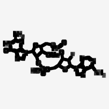 COC1C2CO[PH](=O)OC3C(COP(=O)(O)OC1C(n1cnc4c(=O)[nH]c(N)nc41)O2)OC(n1cnc2c(N)ncnc21)C3F